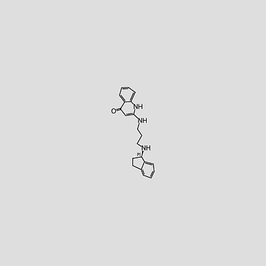 O=c1cc(NCCCN[C@@H]2CCc3ccccc32)[nH]c2ccccc12